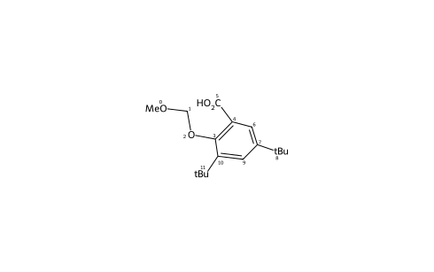 COCOc1c(C(=O)O)cc(C(C)(C)C)cc1C(C)(C)C